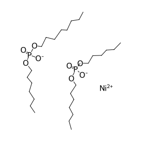 CCCCCCCCOP(=O)([O-])OCCCCCCC.CCCCCCCOP(=O)([O-])OCCCCCC.[Ni+2]